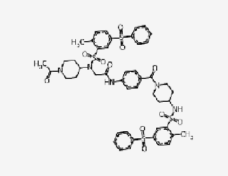 CC(=O)N1CCC(N(CC(=O)Nc2ccc(C(=O)N3CCC(NS(=O)(=O)c4cc(S(=O)(=O)c5ccccc5)ccc4C)CC3)cc2)S(=O)(=O)c2cc(S(=O)(=O)c3ccccc3)ccc2C)CC1